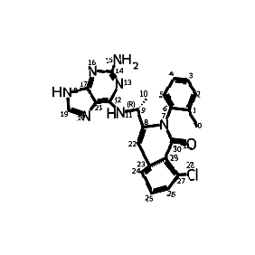 Cc1ccccc1-n1c([C@@H](C)Nc2nc(N)nc3[nH]cnc23)cc2cccc(Cl)c2c1=O